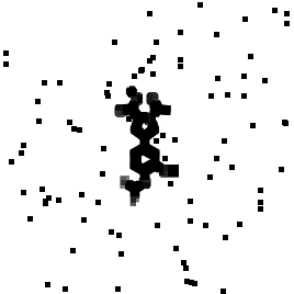 COC(=O)C1CC(c2ccc(OC(F)F)c(O)c2)CN1C(C)=O